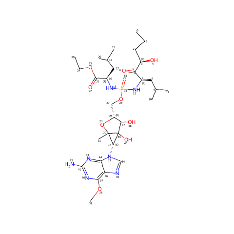 CCC[C@@H](O)C(=O)[C@@H](CC(C)C)NP(=O)(N[C@H](CC(C)C)C(=O)OCC)OC[C@H]1OC2(C)[C@@H](n3cnc4c(OC)nc(N)nc43)C2(O)C1O